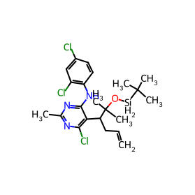 C=CCC(c1c(Cl)nc(C)nc1Nc1ccc(Cl)cc1Cl)C(C)(C)O[SiH2]C(C)(C)C